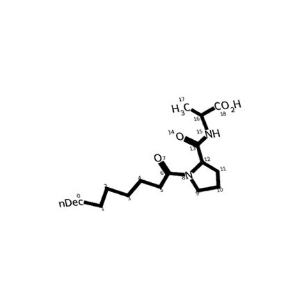 CCCCCCCCCCCCCCCC(=O)N1CCCC1C(=O)NC(C)C(=O)O